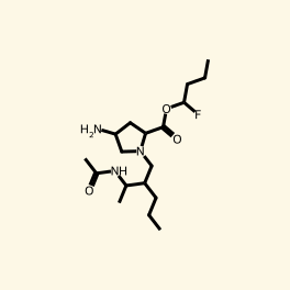 CCCC(F)OC(=O)C1CC(N)CN1CC(CCC)C(C)NC(C)=O